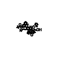 CN1CCC[C@H]1COc1nc2c(F)c(-c3cc(OC(=O)C(C)(C)C)cc4ccccc34)c(CCC#N)cc2c(NC2C3CC2N(C(=O)OC(C)(C)C)C3)c1CCCO